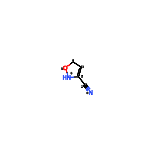 N#CC1=[C]CON1